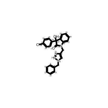 O=C1N(Cc2cn(Cc3ccccc3)nn2)c2ccccc2C1(O)c1ccc(Cl)cc1